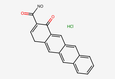 Cl.O=NC(=O)C1=CCc2cc3cc4ccccc4cc3cc2C1=O